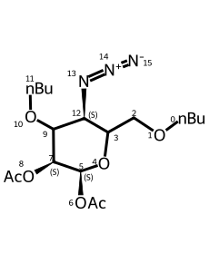 CCCCOCC1O[C@@H](OC(C)=O)[C@@H](OC(C)=O)C(OCCCC)[C@H]1N=[N+]=[N-]